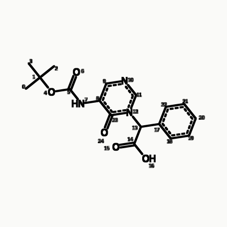 CC(C)(C)OC(=O)Nc1cncn(C(C(=O)O)c2ccccc2)c1=O